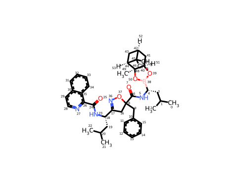 CC(C)C[C@H](NC(=O)C1(Cc2ccccc2)CC([C@H](CC(C)C)NC(=O)c2nccc3ccccc23)=NO1)B1O[C@@H]2C[C@@H]3C[C@@H](C3(C)C)[C@]2(C)O1